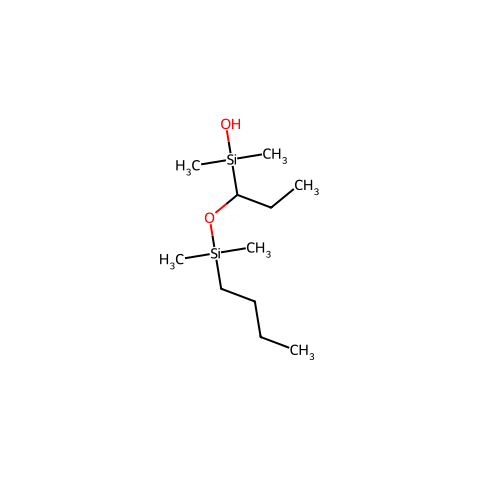 CCCC[Si](C)(C)OC(CC)[Si](C)(C)O